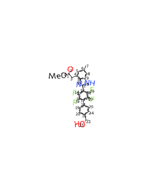 COC(=O)Cc1cc(C)cc2[nH]c(-c3c(F)c(F)c(-c4ccc(CO)cc4)c(F)c3F)nc12